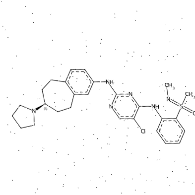 CN=S(C)(=O)c1ccccc1Nc1nc(Nc2ccc3c(c2)CC[C@@H](N2CCCC2)CC3)ncc1Cl